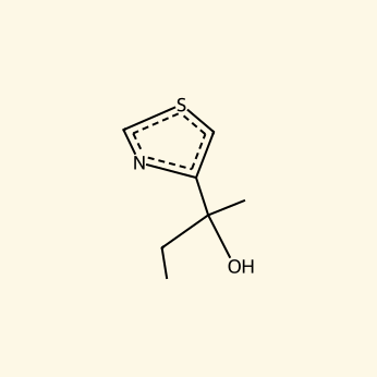 CCC(C)(O)c1cscn1